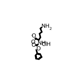 COC(=O)C(CCCCN)NC(=O)OCc1ccccc1.Cl